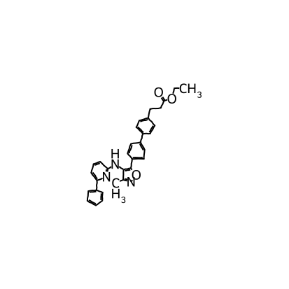 CCOC(=O)CCc1ccc(-c2ccc(-c3onc(C)c3Nc3cccc(-c4ccccc4)n3)cc2)cc1